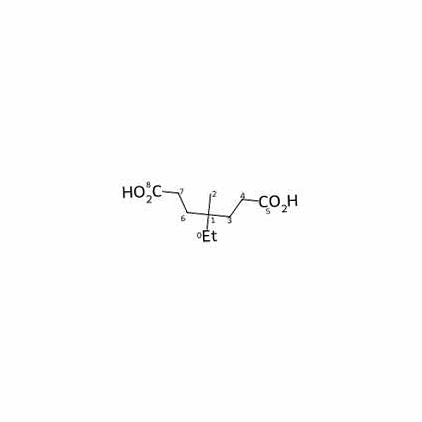 CCC(C)(CCC(=O)O)CCC(=O)O